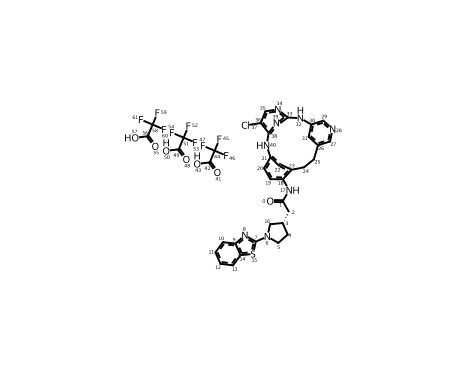 O=C(C[C@@H]1CCN(c2nc3ccccc3s2)C1)Nc1ccc2cc1CCc1cncc(c1)Nc1ncc(Cl)c(n1)N2.O=C(O)C(F)(F)F.O=C(O)C(F)(F)F.O=C(O)C(F)(F)F